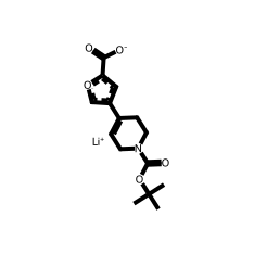 CC(C)(C)OC(=O)N1CC=C(c2coc(C(=O)[O-])c2)CC1.[Li+]